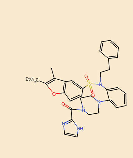 CCOC(=O)c1oc2ccc(S(=O)(=O)N(CCc3ccccc3)c3ccccc3N3CCN(C(=O)c4ncc[nH]4)CC3)cc2c1C